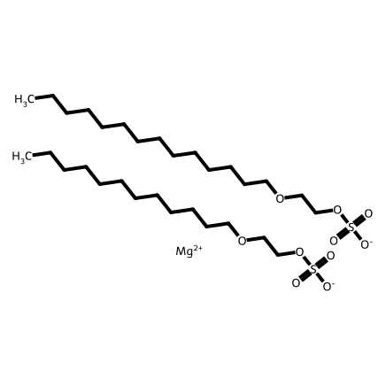 CCCCCCCCCCCCCCOCCOS(=O)(=O)[O-].CCCCCCCCCCCCOCCOS(=O)(=O)[O-].[Mg+2]